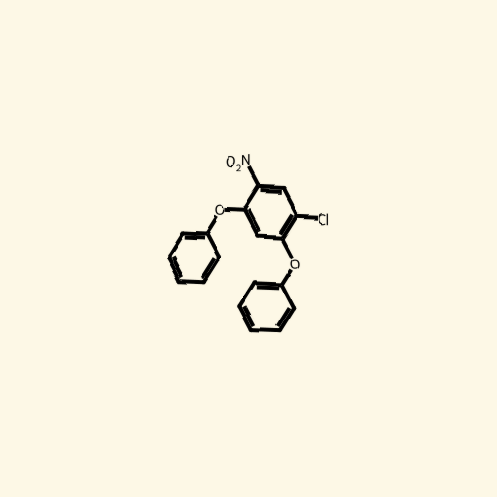 O=[N+]([O-])c1cc(Cl)c(Oc2ccccc2)cc1Oc1ccccc1